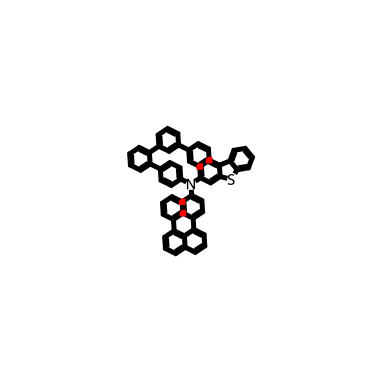 c1ccc(-c2cccc(-c3ccccc3-c3ccc(N(c4ccc(-c5cccc6cccc(-c7ccccc7)c56)cc4)c4ccc5c(c4)sc4ccccc45)cc3)c2)cc1